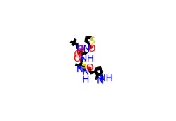 Cc1nc(NC(=O)Cc2cccc3[nH]ncc23)sc1C(=O)NC(CNC(=O)c1cccs1)C(=O)OCCC(C)(C)C